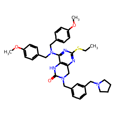 CCSc1nc2c(c(N(Cc3ccc(OC)cc3)Cc3ccc(OC)cc3)n1)NC(=O)N(Cc1cccc(CN3CCCC3)c1)C2